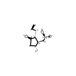 C=CC[C@H]1C(=O)C[C@@H](C)[C@@H]1C[N+](=O)[O-]